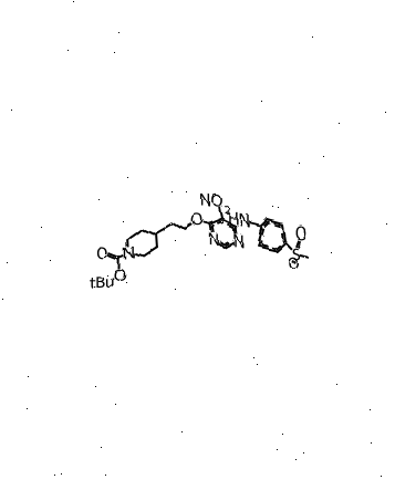 CC(C)(C)OC(=O)N1CCC(CCOc2ncnc(Nc3ccc(S(C)(=O)=O)cc3)c2[N+](=O)[O-])CC1